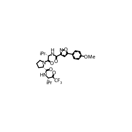 COc1ccc(-c2cc(C(=O)N[C@H](C(=O)N3CCC[C@H]3C(=O)N[C@H](C(=O)C(F)(F)F)C(C)C)C(C)C)no2)cc1